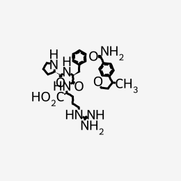 CC1CCOc2cc(C(N)=O)ccc21.N=C(N)NCCC[C@H](NC(=O)[C@H](Cc1ccccc1)NC(=O)[C@@H]1CCCN1)C(=O)O